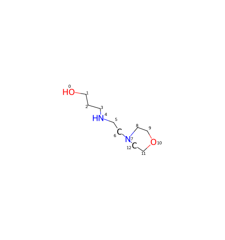 OCCCNCCN1CCOCC1